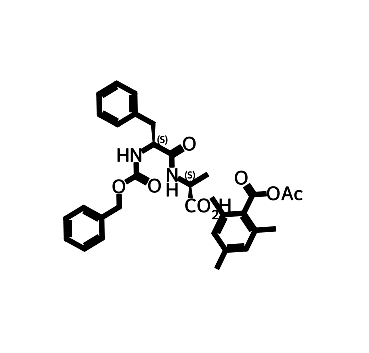 CC(=O)OC(=O)c1c(C)cc(C)cc1C.C[C@H](NC(=O)[C@H](Cc1ccccc1)NC(=O)OCc1ccccc1)C(=O)O